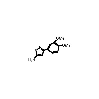 COc1ccc(-c2cc(N)sn2)cc1OC